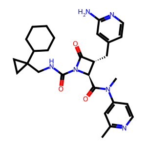 Cc1cc(N(C)C(=O)[C@@H]2[C@@H](Cc3ccnc(N)c3)C(=O)N2C(=O)NCC2(C3CCCCC3)CC2)ccn1